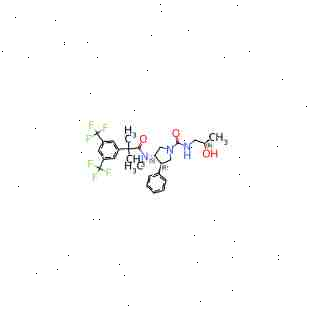 C[C@@H](O)CNC(=O)N1C[C@@H](N(C)C(=O)C(C)(C)c2cc(C(F)(F)F)cc(C(F)(F)F)c2)[C@H](c2ccccc2)C1